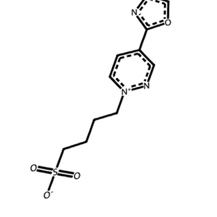 O=S(=O)([O-])CCCC[n+]1ccc(-c2ncco2)cn1